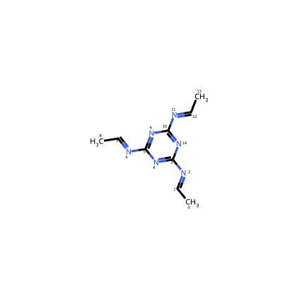 CC=Nc1nc(N=CC)nc(N=CC)n1